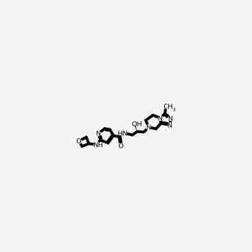 Cc1nnc2n1CCN(C[C@@H](O)CNC(=O)c1ccnc(NC3COC3)c1)C2